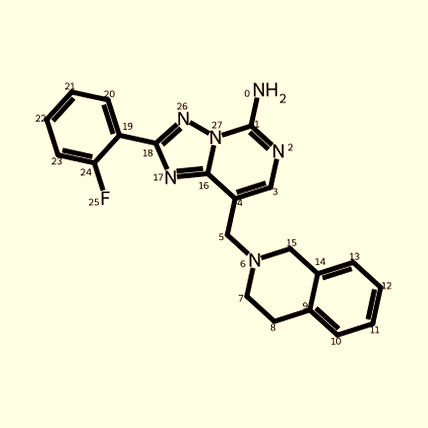 Nc1ncc(CN2CCc3ccccc3C2)c2nc(-c3ccccc3F)nn12